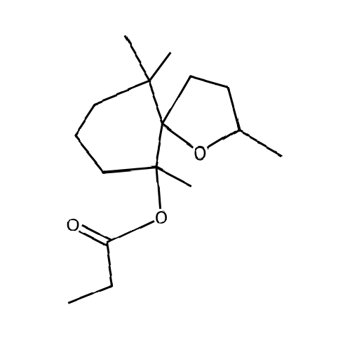 CCC(=O)OC1(C)CCCC(C)(C)C12CCC(C)O2